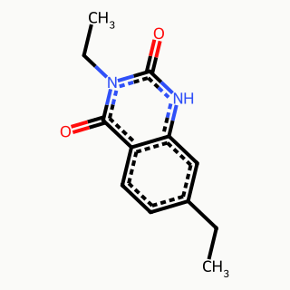 CCc1ccc2c(=O)n(CC)c(=O)[nH]c2c1